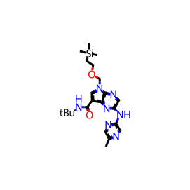 Cc1cnc(Nc2cnc3c(n2)c(C(=O)NC(C)(C)C)cn3COCC[Si](C)(C)C)cn1